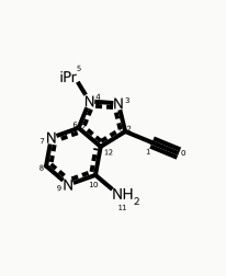 C#Cc1nn(C(C)C)c2ncnc(N)c12